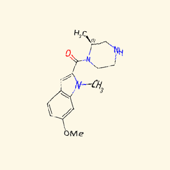 COc1ccc2cc(C(=O)N3CCNC[C@@H]3C)n(C)c2c1